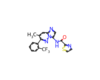 Cc1cc2ncc(NC(=O)c3nccs3)n2nc1-c1ccccc1C(F)(F)F